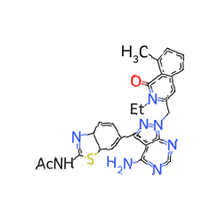 CCn1c(Cn2nc(C3=CC4SC(NC(C)=O)=NC4C=C3)c3c(N)ncnc32)cc2cccc(C)c2c1=O